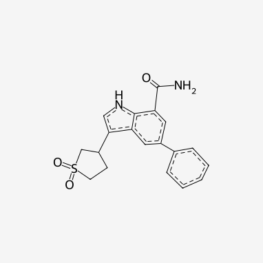 NC(=O)c1cc(-c2ccccc2)cc2c(C3CCS(=O)(=O)C3)c[nH]c12